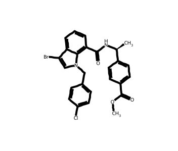 COC(=O)c1ccc([C@H](C)NC(=O)c2cccc3c(Br)cn(Cc4ccc(Cl)cc4)c23)cc1